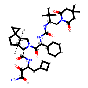 CC1(C)CC(=O)N(C[C@@H](NC(=O)N[C@H](C(=O)N2C[C@H]3[C@H](CCC34CC4)[C@H]2C(=O)NC(CC2CCC2)C(=O)C(N)=O)C2CCCCC2)C(C)(C)C)C(=O)C1